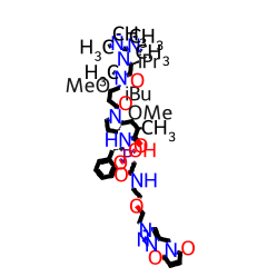 CC[C@H](C)[C@@H]([C@@H](CC(=O)N1CCC[C@H]1[C@H](OC)[C@@H](C)C(=O)N[C@@H](Cc1ccccc1)P(=O)(O)CC(=O)NCCOCCn1cc(CN2C(=O)C=CC2=O)nn1)OC)N(C)C(=O)[C@@H](N=C(N(C)C)N(C)C)C(C)C